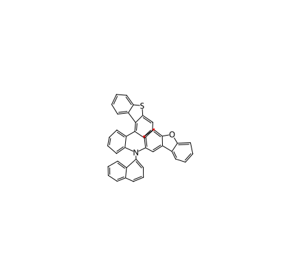 c1ccc(N(c2ccc3oc4ccccc4c3c2)c2cccc3ccccc23)c(-c2cccc3sc4ccccc4c23)c1